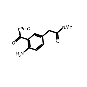 CCCCCC(=O)c1cc(CC(=O)NC)ccc1N